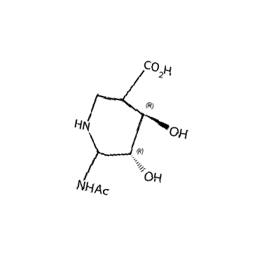 CC(=O)NC1NCC(C(=O)O)[C@@H](O)[C@@H]1O